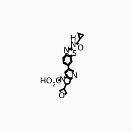 O=C(Nc1nc2ccc(-c3cnc4c(c3)N(C(=O)O)C(C3COC3)C4)cc2s1)C1CC1